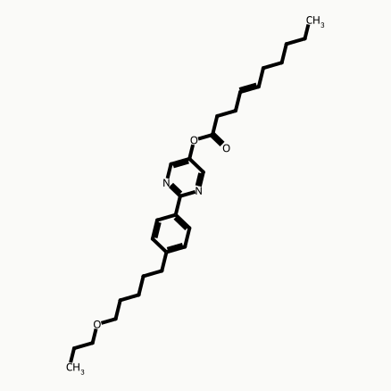 CCCCCC=CCCC(=O)Oc1cnc(-c2ccc(CCCCCOCCC)cc2)nc1